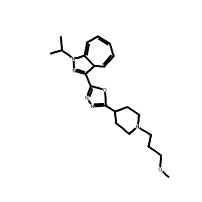 COCCCN1CCC(c2nnc(C3=NN(C(C)C)C4=CC=CC=CC43)o2)CC1